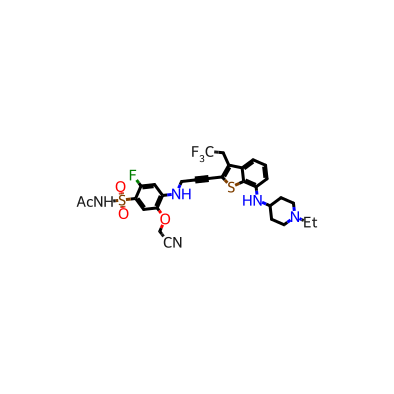 CCN1CCC(Nc2cccc3c(CC(F)(F)F)c(C#CCNc4cc(F)c(S(=O)(=O)NC(C)=O)cc4OCC#N)sc23)CC1